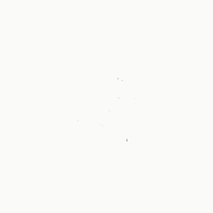 CN[C@H]1CCCC(F)(F)C1Nc1nc(Nc2cnc3ccccc3c2)c(C(N)=O)cc1F